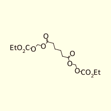 CCOC(=O)OCOC(=O)CCCCC(=O)OCOC(=O)OCC